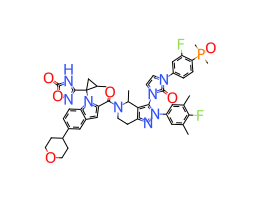 Cc1cc(-n2nc3c(c2-n2ccn(-c4ccc(P(C)(C)=O)c(F)c4)c2=O)C(C)N(C(=O)c2cc4cc(C5CCOCC5)ccc4n2C2(c4noc(=O)[nH]4)CC2C)CC3)cc(C)c1F